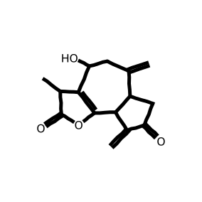 C=C1CC(O)C2=C(OC(=O)C2C)C2C(=C)C(=O)CC12